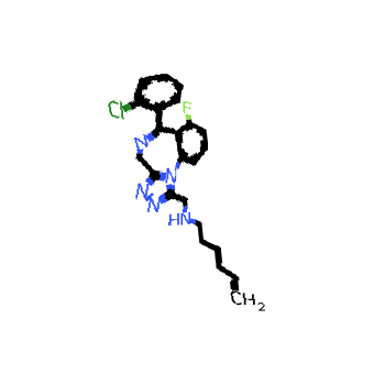 C=CCCCCNCc1nnc2n1-c1cccc(F)c1C(c1ccccc1Cl)=NC2